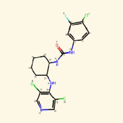 O=C(Nc1ccc(Cl)c(F)c1)NC1CCCCC1Nc1c(Cl)cncc1Cl